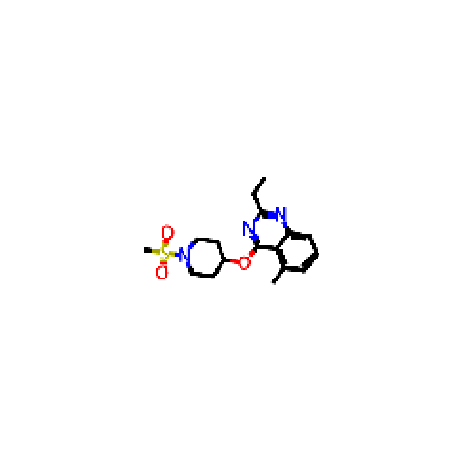 CCc1nc(OC2CCN(S(C)(=O)=O)CC2)c2c(C)cccc2n1